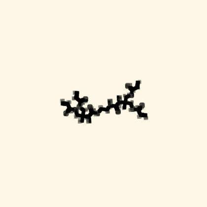 C=CC(=O)OCC(C)(COC(=O)C=C)NC(=O)NCCSC(=O)NC(C)(COC(=O)C=C)COC(=O)C=C